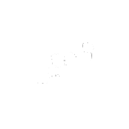 CCc1nc2nc(CNC3CCCC3O)ccc2o1